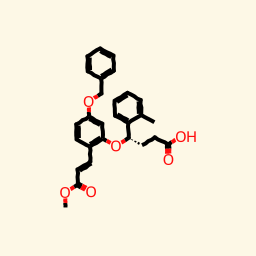 COC(=O)/C=C/c1ccc(OCc2ccccc2)cc1O[C@@H](CCC(=O)O)c1ccccc1C